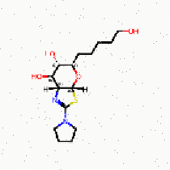 OCCCCC[C@H]1O[C@@H]2SC(N3CCCC3)=N[C@@H]2[C@@H](O)[C@@H]1O